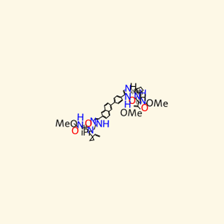 C=CC1(CN(Cc2ncc(-c3ccc4cc(-c5ccc(-c6cnc([C@@H]7[C@H]8CC[C@H](C8)N7C(=O)[C@@H](NC(=O)OC)C(=C)COC)[nH]6)cc5)ccc4c3)[nH]2)C(=O)[C@@H](NC(=O)OC)C(C)C)CC1